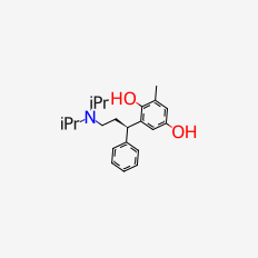 Cc1cc(O)cc([C@H](CCN(C(C)C)C(C)C)c2ccccc2)c1O